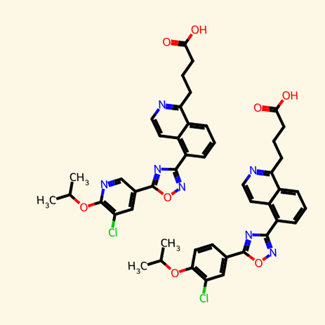 CC(C)Oc1ccc(-c2nc(-c3cccc4c(CCCC(=O)O)nccc34)no2)cc1Cl.CC(C)Oc1ncc(-c2nc(-c3cccc4c(CCCC(=O)O)nccc34)no2)cc1Cl